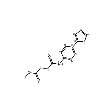 COC(=O)CCC(=O)Nc1ccc(-c2cccs2)cn1